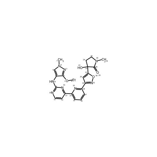 CCOc1nn(C)cc1Nc1nccc(-c2cccc(-c3cc(C4(O)CCN(C)C4=O)on3)n2)n1